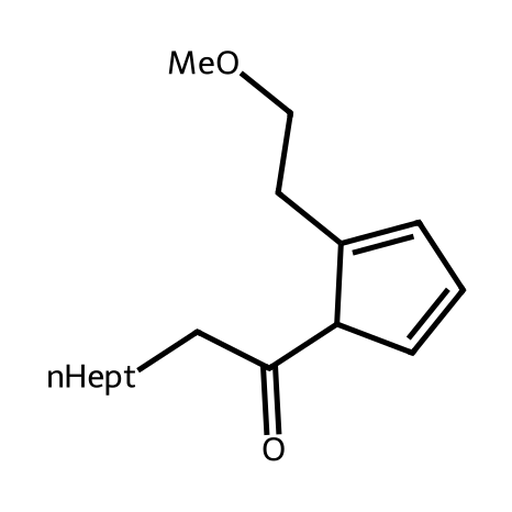 CCCCCCCCC(=O)C1C=CC=C1CCOC